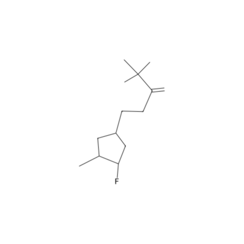 C=C(CCC1CC(C)C(F)C1)C(C)(C)C